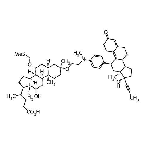 CC#C[C@@]1(O)CCC2C3CCC4=CC(=O)CCC4=C3[C@H](c3ccc(N(C)CCO[C@@]4(C)CC[C@@]5(C)[C@H](C[C@@H](OCSC)[C@@H]6[C@@H]5C[C@H](O)[C@]5(C)[C@@H]([C@H](C)CCC(=O)O)CC[C@@H]65)C4)cc3)C[C@@]21C